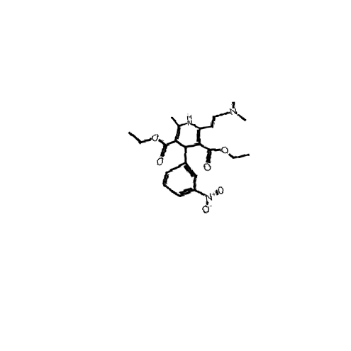 CCOC(=O)C1=C(C)NC(CCN(C)C)=C(C(=O)OCC)C1c1cccc([N+](=O)[O-])c1